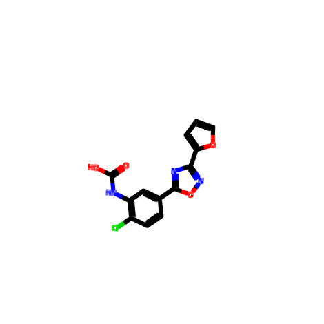 O=C(O)Nc1cc(-c2nc(-c3ccco3)no2)ccc1Cl